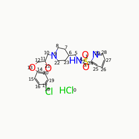 Cl.O=S(=O)(NCC1CCN(CC2COc3ccc(Cl)cc3O2)CC1)c1ccccn1